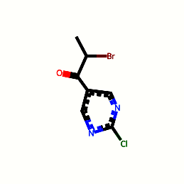 CC(Br)C(=O)c1cnc(Cl)nc1